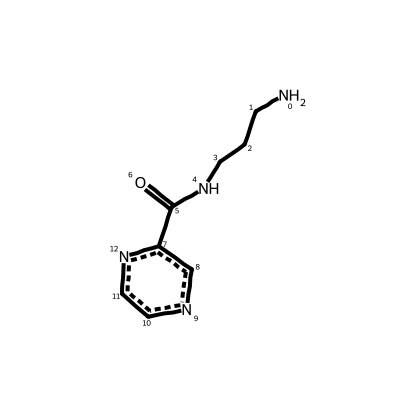 NCCCNC(=O)c1cnccn1